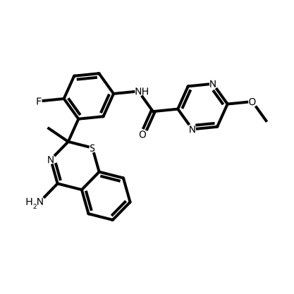 COc1cnc(C(=O)Nc2ccc(F)c(C3(C)N=C(N)c4ccccc4S3)c2)cn1